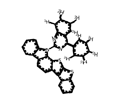 [2H]c1c([2H])c([2H])c(-c2nc(-n3c4ccccc4c4ccc5c(sc6sc7ccccc7c65)c43)nc3c([2H])c([2H])c([2H])c([2H])c23)c([2H])c1[2H]